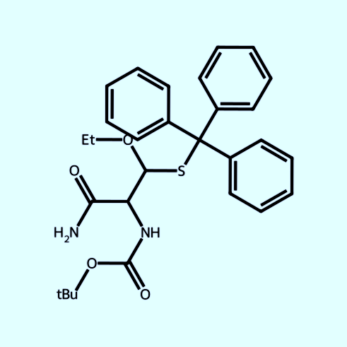 CCOC(SC(c1ccccc1)(c1ccccc1)c1ccccc1)C(NC(=O)OC(C)(C)C)C(N)=O